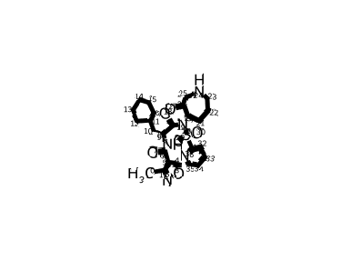 Cc1nocc1C(=O)N[C@@H](CC1CCCCC1)C(=O)N([C@H]1CCCNCC1=O)S(=O)(=O)c1ccccn1